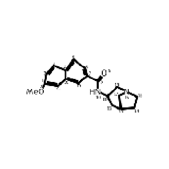 COc1ccc2ccc(C(=O)NC3CC4CCN(C4)C3)cc2c1